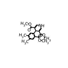 COC(=O)C1=CNC=C(C(=O)OC)C1c1cc(C)c(C)cc1C(=O)OC